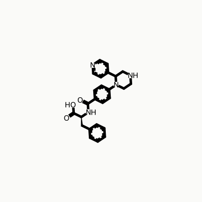 O=C(N[C@@H](Cc1ccccc1)C(=O)O)c1ccc(N2CCNCC2c2ccncc2)cc1